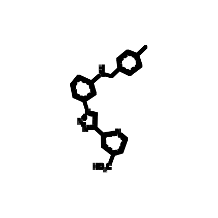 Cc1ccc(CNc2cccc(-n3cc(-c4cc(C(=O)O)ccn4)nn3)c2)cc1